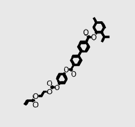 C=CC(=O)OCCOC(=O)Oc1ccc(OC(=O)c2ccc(-c3ccc(C(=O)OC4CC(C)CCC4C(C)C)cc3)cc2)cc1